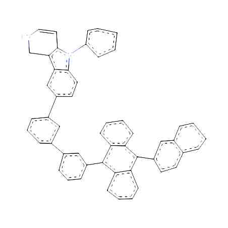 C1=Cc2c(c3cc(-c4cccc(-c5cccc(-c6c7ccccc7c(-c7ccc8ccccc8c7)c7ccccc67)c5)c4)ccc3n2-c2ccccc2)CN1